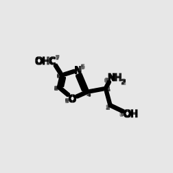 NC(CO)c1nc(C=O)co1